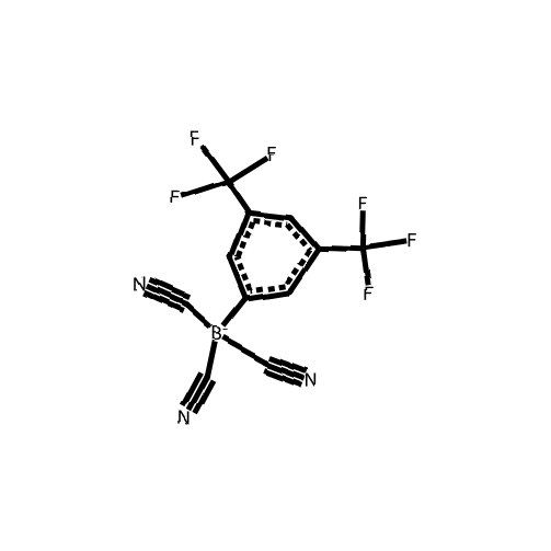 N#C[B-](C#N)(C#N)c1cc(C(F)(F)F)cc(C(F)(F)F)c1